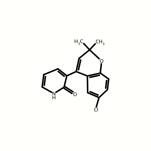 CC1(C)C=C(c2ccc[nH]c2=O)c2cc(Cl)ccc2O1